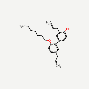 C=CCc1ccc(OCCCCCCC)c(-c2ccc(O)c(CC=C)c2)c1